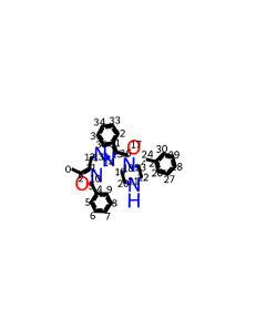 Cc1oc(-c2ccccc2)nc1Cn1nc(C(=O)N2CCNC[C@H]2Cc2ccccc2)c2ccccc21